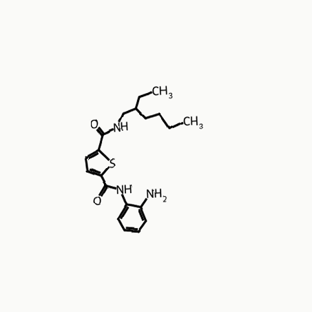 CCCCC(CC)CNC(=O)c1ccc(C(=O)Nc2ccccc2N)s1